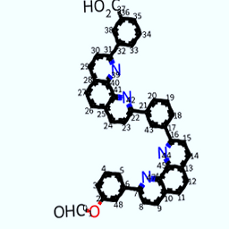 O=COc1cccc(-c2ccc3ccc4ccc(-c5cccc(-c6ccc7ccc8ccc(-c9cccc(C(=O)O)c9)nc8c7n6)c5)nc4c3n2)c1